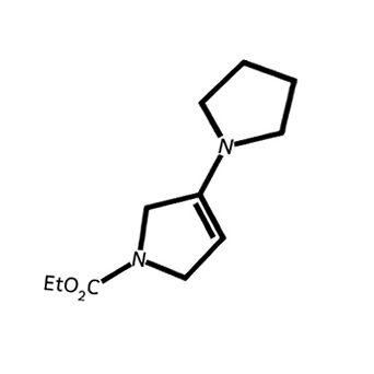 CCOC(=O)N1CC=C(N2CCCC2)C1